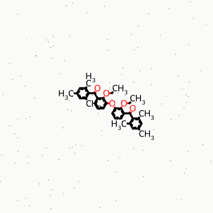 CCOc1c(Oc2cccc(C(=O)c3c(C)cc(C)cc3C)c2OCC)cccc1C(=O)c1c(C)cc(C)cc1C